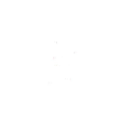 CC(C)=CCc1c(O)cc2c(c1O)C(=O)C(c1ccc(O)cc1O)CO2